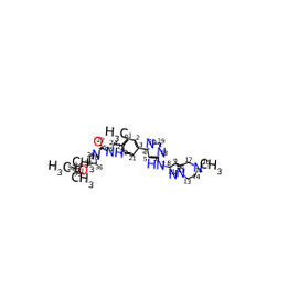 Cc1cc(-c2cc(Nc3cc4n(n3)CCN(C)C4)ncn2)ccc1CNC(=O)N1CC(OC(C)(C)C)C1